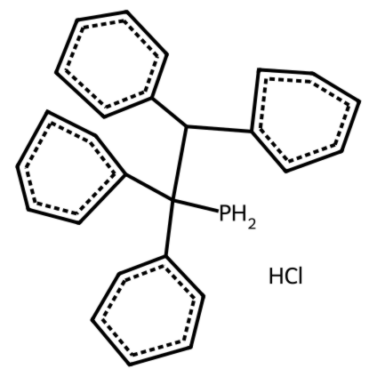 Cl.PC(c1ccccc1)(c1ccccc1)C(c1ccccc1)c1ccccc1